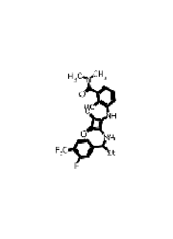 CCC(Nc1c(Nc2cccc(C(=O)N(C)C)c2O)c(=O)c1=O)c1ccc(C(F)(F)F)c(F)c1